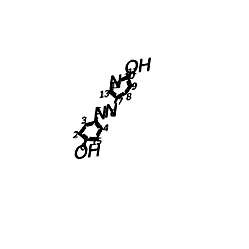 Oc1ccc(N=Nc2ccc(O)nc2)cc1